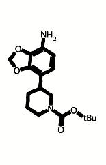 CC(C)(C)OC(=O)N1CCCC(c2ccc(N)c3c2OCO3)C1